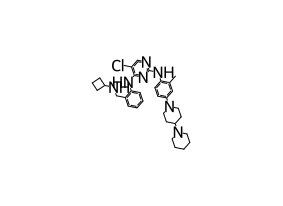 Cc1cc(N2CCC(N3CCCCC3)CC2)ccc1Nc1ncc(Cl)c(Nc2ccccc2CNC2CCC2)n1